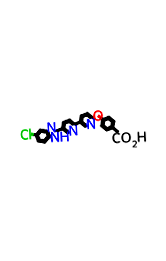 O=C(O)Cc1ccc(Oc2ccc(-c3ccc(-c4nc5cc(Cl)ccc5[nH]4)cn3)cn2)cc1